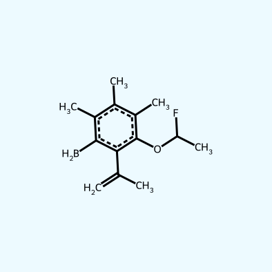 Bc1c(C)c(C)c(C)c(OC(C)F)c1C(=C)C